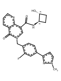 Cn1ccc(-c2ccc(Cn3cc(C(=O)N[C@@H]4CC[C@H]4O)c4ncccc4c3=O)c(F)c2)n1